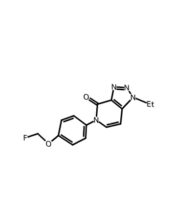 CCn1nnc2c(=O)n(-c3ccc(OCF)cc3)ccc21